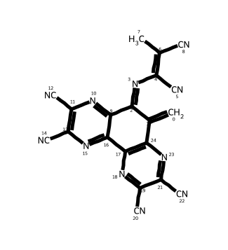 C=C1/C(=N\C(C#N)=C(/C)C#N)c2nc(C#N)c(C#N)nc2-c2nc(C#N)c(C#N)nc21